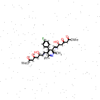 COC(=O)CC(=O)CC(O)/C=C/c1c(C)nc(C(C)C)c(/C=C/C(O)CC(=O)CC(=O)OC)c1-c1ccc(F)cc1